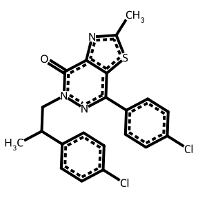 Cc1nc2c(=O)n(CC(C)c3ccc(Cl)cc3)nc(-c3ccc(Cl)cc3)c2s1